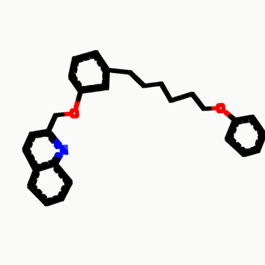 c1ccc(OCCCCCCc2cccc(OCc3ccc4ccccc4n3)c2)cc1